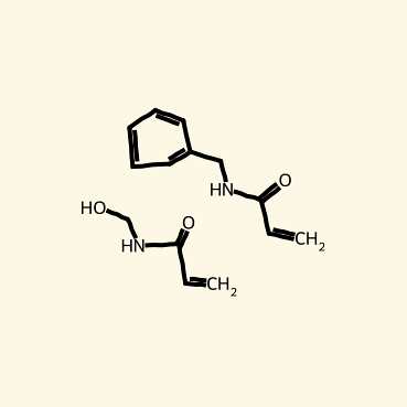 C=CC(=O)NCO.C=CC(=O)NCc1ccccc1